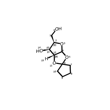 OC[C@H]1OC2OC3(CCCC3)O[C@@H]2[C@H]1O